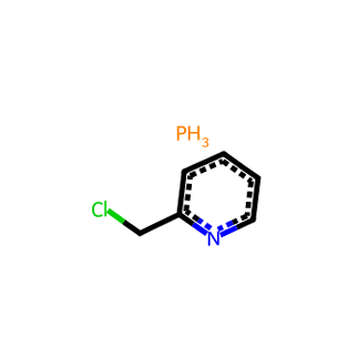 ClCc1ccccn1.P